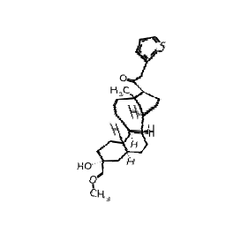 COC[C@@]1(O)CC[C@H]2[C@@H](CC[C@@H]3[C@@H]2CC[C@]2(C)[C@@H](C(=O)Cc4cccs4)CC[C@@H]32)C1